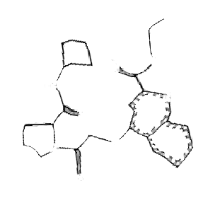 CCOC(=O)c1cc(OCC(=O)N2CCCC2C(=O)NC2CCC2)c2ccccc2n1